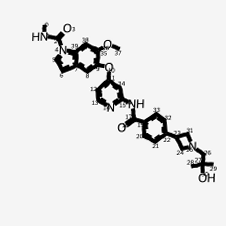 CNC(=O)n1ccc2cc(Oc3ccnc(NC(=O)c4ccc(C5CN(CC(C)(C)O)C5)cc4)c3)c(OC)cc21